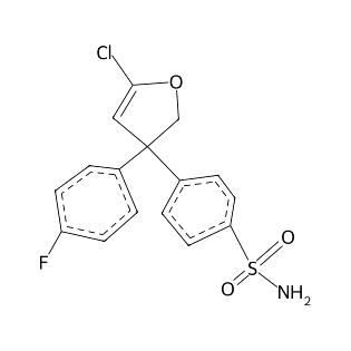 NS(=O)(=O)c1ccc(C2(c3ccc(F)cc3)C=C(Cl)OC2)cc1